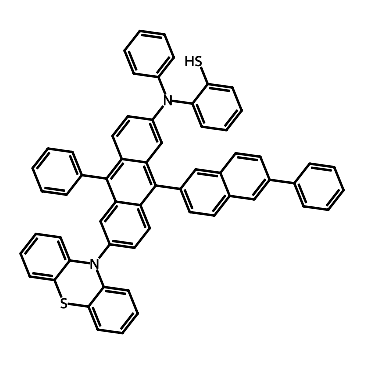 Sc1ccccc1N(c1ccccc1)c1ccc2c(-c3ccccc3)c3cc(N4c5ccccc5Sc5ccccc54)ccc3c(-c3ccc4cc(-c5ccccc5)ccc4c3)c2c1